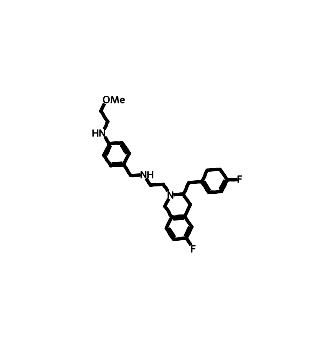 COCCNc1ccc(CNCCN2Cc3ccc(F)cc3CC2CC2=CC=C(F)CC2)cc1